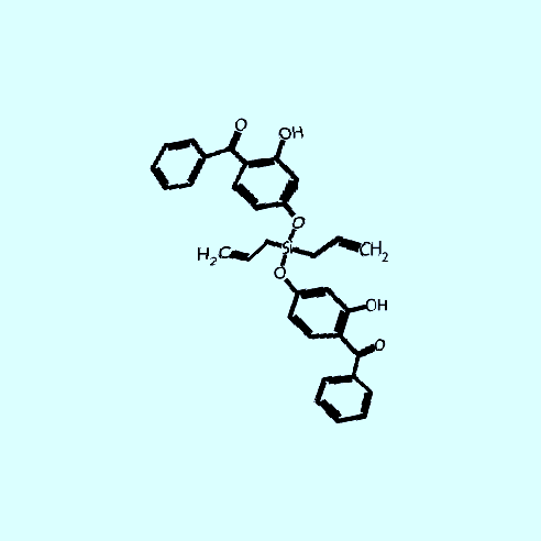 C=CC[Si](CC=C)(Oc1ccc(C(=O)c2ccccc2)c(O)c1)Oc1ccc(C(=O)c2ccccc2)c(O)c1